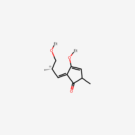 CCOC[C@@H](C)C=C1C(=O)C(C)C=C1OCC